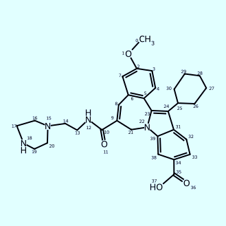 COc1ccc2c(c1)C=C(C(=O)NCCN1CCNCC1)Cn1c-2c(C2CCCCC2)c2ccc(C(=O)O)cc21